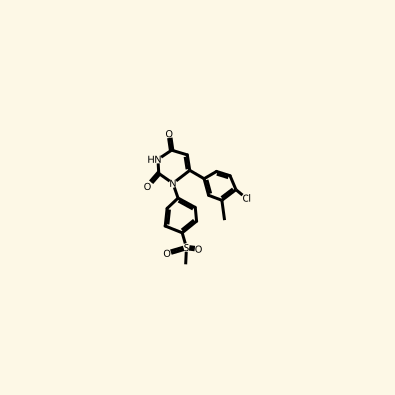 Cc1cc(-c2cc(=O)[nH]c(=O)n2-c2ccc(S(C)(=O)=O)cc2)ccc1Cl